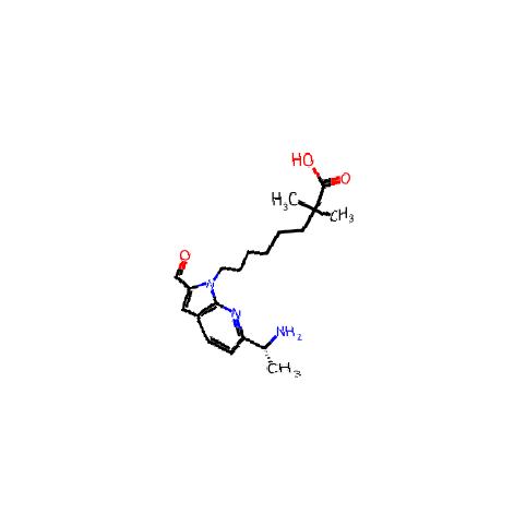 C[C@@H](N)c1ccc2cc(C=O)n(CCCCCCC(C)(C)C(=O)O)c2n1